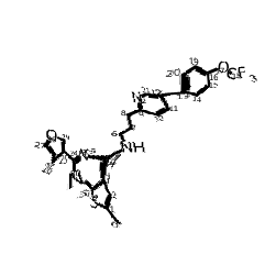 Cc1cc2c(NCCCc3ccc(-c4ccc(OC(F)(F)F)cc4)cn3)nc(-c3ccoc3)nc2s1